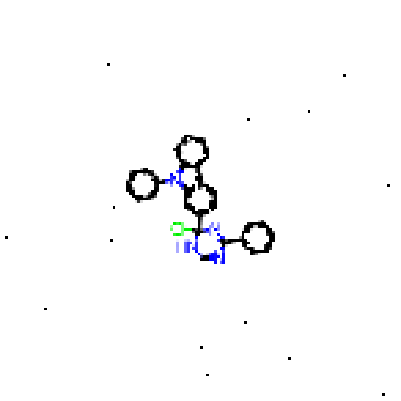 ClC1(c2ccc3c4ccccc4n(-c4ccccc4)c3c2)N=C(c2ccccc2)N=CN1